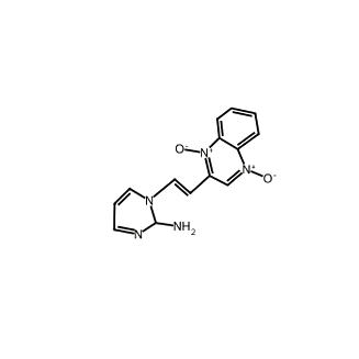 NC1N=CC=CN1C=Cc1c[n+]([O-])c2ccccc2[n+]1[O-]